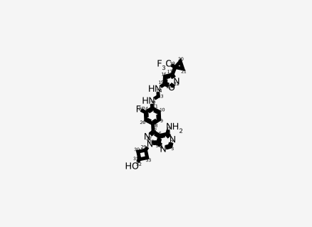 Nc1ncnc2c1c(-c1ccc(NCNc3cc(C4(C(F)(F)F)CC4)no3)c(F)c1)nn2C1CC(O)C1